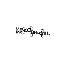 COc1cc2c(cc1OC)CC(=O)N(CCCNCCc1cc(Cl)c(N)c(Cl)c1)CC2.Cl